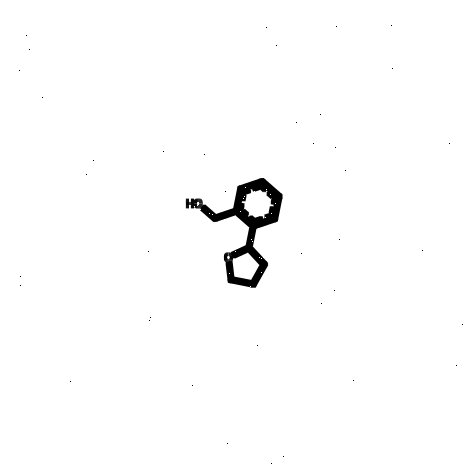 OCc1ccccc1C1CCCO1